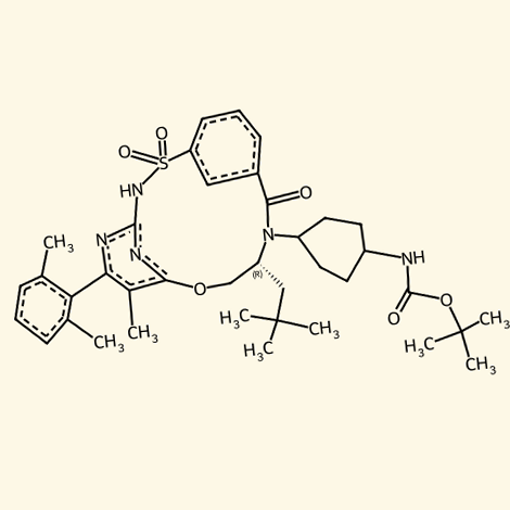 Cc1cccc(C)c1-c1nc2nc(c1C)OC[C@@H](CC(C)(C)C)N(C1CCC(NC(=O)OC(C)(C)C)CC1)C(=O)c1cccc(c1)S(=O)(=O)N2